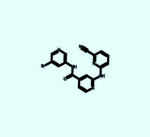 N#Cc1cccc(Nc2cc(C(=O)Nc3cncc(Br)c3)ccn2)n1